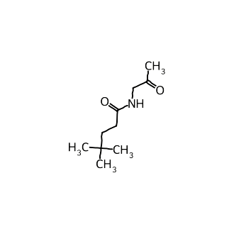 CC(=O)CNC(=O)CCC(C)(C)C